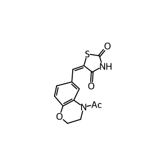 CC(=O)N1CCOc2ccc(C=C3SC(=O)NC3=O)cc21